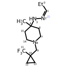 CC/C=N\NC1(C)CCN(CC2(C(F)(F)F)CC2)CC1